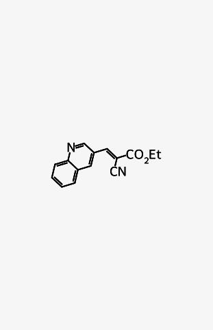 CCOC(=O)C(C#N)=Cc1cnc2ccccc2c1